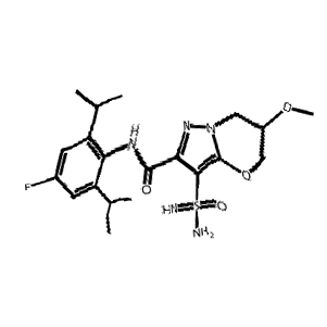 COC1COc2c(S(=N)(N)=O)c(C(=O)Nc3c(C(C)C)cc(F)cc3C(C)C)nn2C1